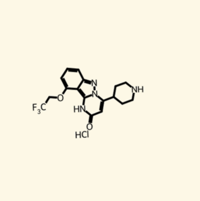 Cl.O=c1cc(C2CCNCC2)n2nc3cccc(OCC(F)(F)F)c3c2[nH]1